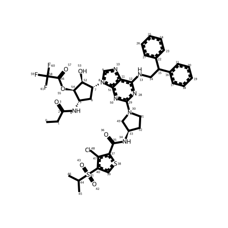 CCC(=O)N[C@H]1C[C@@H](n2cnc3c(NCC(c4ccccc4)c4ccccc4)nc(N4CC[C@@H](NC(=O)c5scc(S(=O)(=O)C(C)C)c5Cl)C4)nc32)[C@H](O)[C@@H]1OC(=O)C(F)(F)F